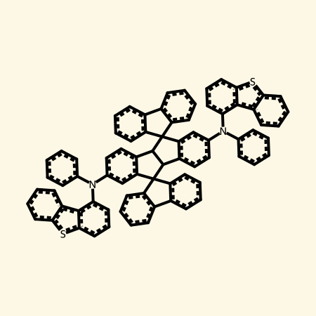 c1ccc(N(c2ccc3c(c2)C2(c4ccccc4-c4ccccc42)C2c4ccc(N(c5ccccc5)c5cccc6sc7ccccc7c56)cc4C4(c5ccccc5-c5ccccc54)C32)c2cccc3sc4ccccc4c23)cc1